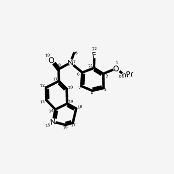 CCCOc1cccc(N(C)C(=O)c2ccc3ncccc3c2)c1F